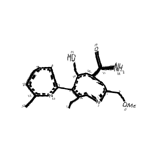 COCc1nc(C)c(-c2cccc(C)n2)c(O)c1C(N)=O